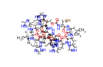 CC(C)C[C@H](NC(=O)[C@H](CS)NC(=O)OCC1c2ccccc2-c2ccccc21)C(=O)N[C@@H](Cc1c[nH]cn1)C(=O)N[C@@H](Cc1c[nH]cn1)C(=O)N[C@@H](CC(C)C)C(=O)N[C@@H](CC(C)C)C(=O)N[C@@H](Cc1c[nH]cn1)C(=O)N[C@@H](Cc1c[nH]cn1)C(=O)N[C@@H](CC(C)C)C(=O)N[C@@H](Cc1c[nH]cn1)C(=O)N[C@@H](Cc1c[nH]cn1)C(=O)O